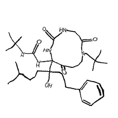 CC(C)CCC(O)(CCc1ccccc1)C1(NC(=O)NC(C)(C)C)NC(=O)NCC(=O)N(C(C)(C)C)CC1=O